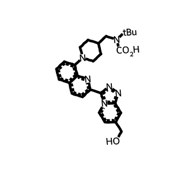 CC(C)(C)N(CC1CCN(c2cccc3ccc(-c4nnc5cc(CO)ccn45)nc23)CC1)C(=O)O